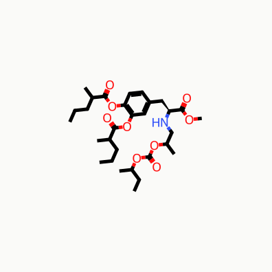 CCCC(C)C(=O)Oc1ccc(C[C@H](NCC(C)OC(=O)OC(C)CC)C(=O)OC)cc1OC(=O)C(C)CCC